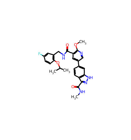 CNC(=O)c1n[nH]c2cc(-c3cnc(OC)c(C(=O)NCc4cc(F)ccc4OC(C)C)c3)ccc12